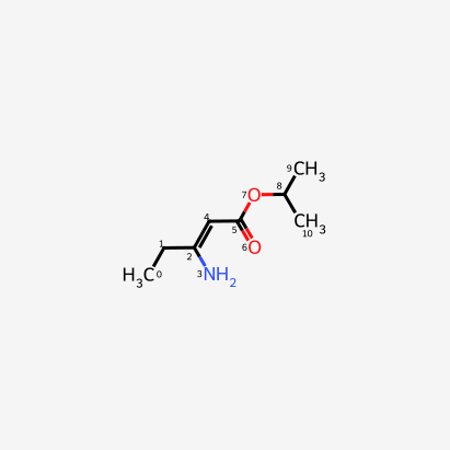 CC/C(N)=C/C(=O)OC(C)C